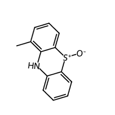 Cc1cccc2c1Nc1ccccc1[S+]2[O-]